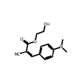 CN(C)c1ccc(C=C(C#N)C(=O)OCCO)cc1